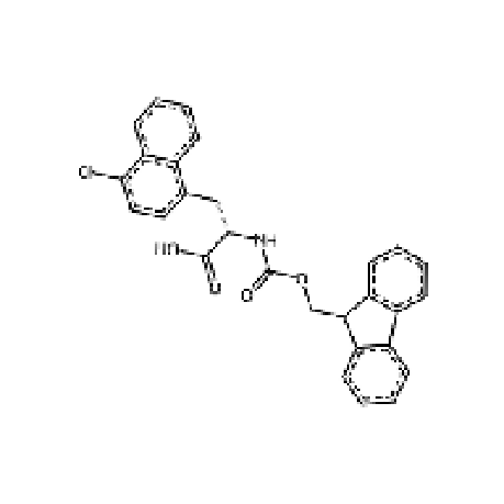 O=C(N[C@@H](Cc1ccc(Cl)c2ccccc12)C(=O)O)OCC1c2ccccc2-c2ccccc21